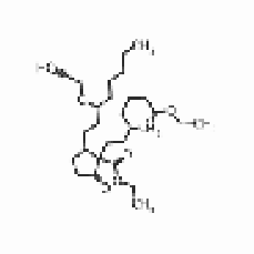 C#CCOC(CCCCC)CCC1CCC(=O)C1(CCC(C)CCCC(=O)OCC)C(=O)OCC